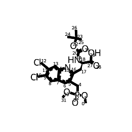 COP(=O)(Cc1cc2cc(Cl)c(Cl)cc2nc1C[C@@H](NC(=O)OC(C)(C)C)C(=O)O)OC